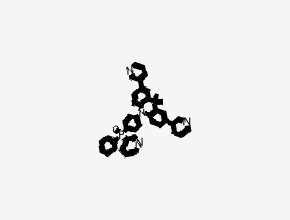 CC1(C)c2cc(-c3cccnc3)ccc2N(c2ccc(P(=O)(c3ccccc3)c3cccnc3)cc2)c2ccc(-c3cccnc3)cc21